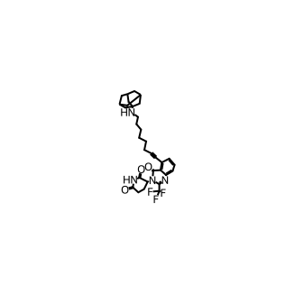 O=C1CC[C@@H](n2c(C(F)(F)F)nc3cccc(C#CCCCCCCNC45CC6CC(CC(C6)C4)C5)c3c2=O)C(=O)N1